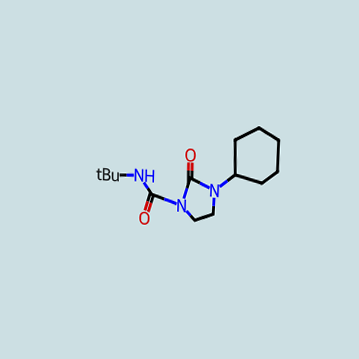 CC(C)(C)NC(=O)N1CCN(C2CCCCC2)C1=O